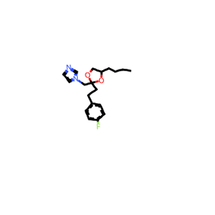 CCCCC1COC(CCc2ccc(F)cc2)(Cn2ccnc2)O1